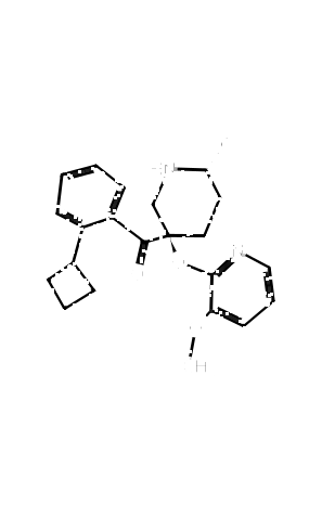 COc1cccnc1O[C@]1(C(=O)c2ccccc2C2CCC2)CC[C@@H](C)NC1